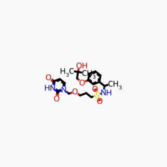 CC(NS(=O)(=O)CCCOCn1ccc(=O)[nH]c1=O)c1cccc(OCC(C)(C)O)c1